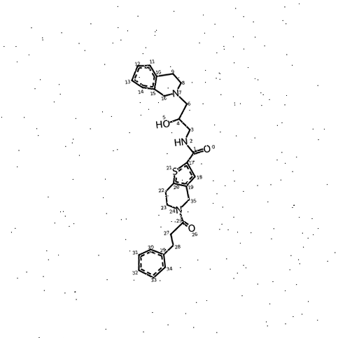 O=C(NCC(O)CN1CCc2ccccc2C1)c1cc2c(s1)CCN(C(=O)CCc1ccccc1)C2